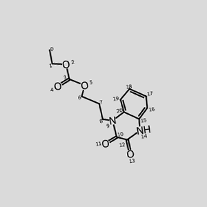 CCOC(=O)OCCCn1c(=O)c(=O)[nH]c2ccccc21